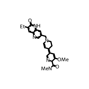 CCc1cc2ncc(CN3C=CC(=C4C=NC(C(=O)NC)C(OC)=C4)CC3)cc2[nH]c1=O